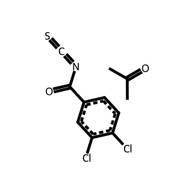 CC(C)=O.O=C(N=C=S)c1ccc(Cl)c(Cl)c1